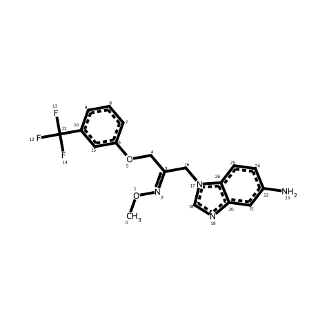 CON=C(COc1cccc(C(F)(F)F)c1)Cn1cnc2cc(N)ccc21